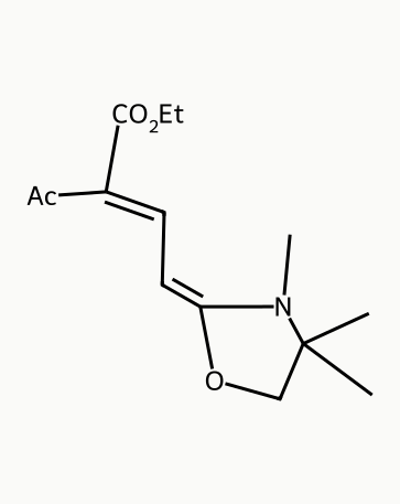 CCOC(=O)C(=CC=C1OCC(C)(C)N1C)C(C)=O